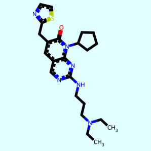 CCN(CC)CCCNc1ncc2cc(Cc3nccs3)c(=O)n(C3CCCC3)c2n1